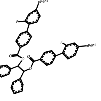 CCCCCc1ccc(-c2ccc(C(=O)OC(c3ccccc3)C(OC(=O)c3ccc(-c4ccc(CCCCC)cc4F)cc3)c3ccccc3)cc2)c(F)c1